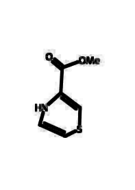 COC(=O)C1=CSC=CN1